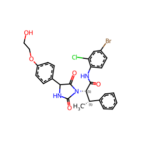 C[C@@H](c1ccccc1)[C@@H](C(=O)Nc1ccc(Br)cc1Cl)N1C(=O)NC(c2ccc(OCCO)cc2)C1=O